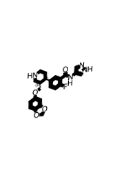 O=C(Nc1cn[nH]c1)c1cc([C@@H]2CCNC[C@H]2COc2ccc3c(c2)OCO3)ccc1F